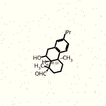 CC(C)c1ccc2c(c1)CC(O)[C@H]1[C@](C)(C=O)CCC[C@]21C